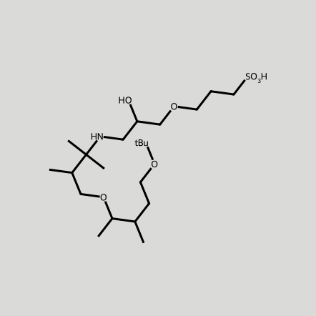 CC(CCOC(C)(C)C)C(C)OCC(C)C(C)(C)NCC(O)COCCCS(=O)(=O)O